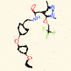 CCOc1ccc(Oc2ccc(CNC(=O)c3c(C)nn(C)c3OCC(F)(F)F)cc2)cc1